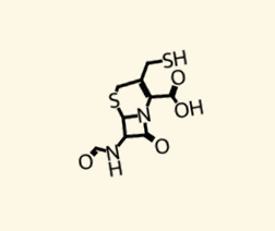 O=CNC1C(=O)N2C(C(=O)O)=C(CS)CSC12